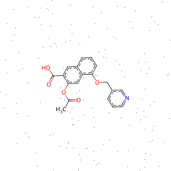 CC(=O)Oc1cc2c(OCc3cccnc3)cccc2cc1C(=O)O